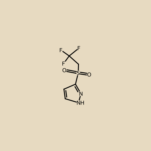 O=S(=O)(CC(F)(F)F)c1cc[nH]n1